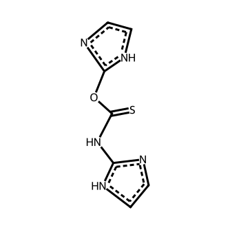 S=C(Nc1ncc[nH]1)Oc1ncc[nH]1